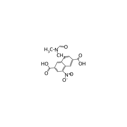 CN(C)C=O.O=C(O)c1cc([N+](=O)[O-])c2cc(C(=O)O)ccc2c1